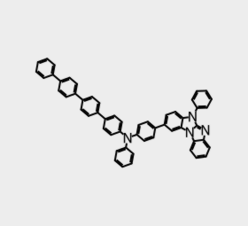 c1ccc(-c2ccc(-c3ccc(-c4ccc(N(c5ccccc5)c5ccc(-c6ccc7c(c6)n6c8ccccc8nc6n7-c6ccccc6)cc5)cc4)cc3)cc2)cc1